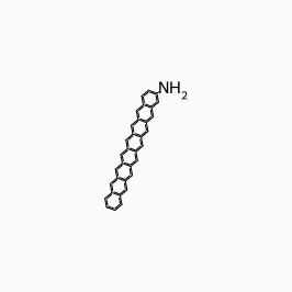 Nc1ccc2cc3cc4cc5cc6cc7cc8ccccc8cc7cc6cc5cc4cc3cc2c1